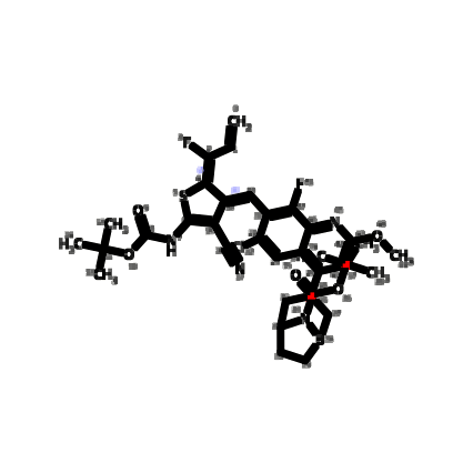 C=C/C(F)=c1/sc(NC(=O)OC(C)(C)C)c(C#N)/c1=C\c1c(Cl)cc2c(N3CB4CCC(C3)N4C(=O)OC(C)(C)C)nc(OC)nc2c1F